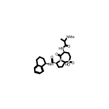 CNC(C)C(=O)N[C@H]1CCS(=O)(=O)[C@H]2CC[C@@H](C(=O)N[C@@H]3CCCc4ccccc43)N2C1=O